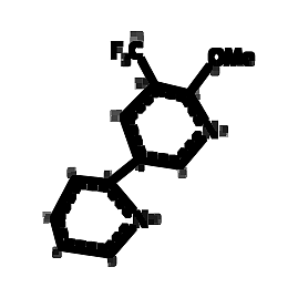 COc1ncc(-c2ccccn2)cc1C(F)(F)F